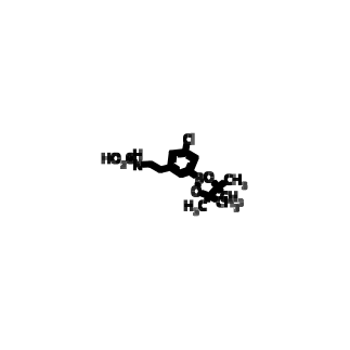 CC1(C)OB(c2cc(Cl)cc(CCNC(=O)O)c2)OC1(C)C